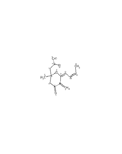 C=C1C(=O)CC(C)(CN(C=O)CC)O/C1=C/C=C\C